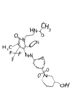 CC(=O)NCCn1c(O)c(/N=N/c2ccc(S(=O)(=O)N3CCCC(CO)C3)cc2)c(C(F)(F)F)c(C)c1=O